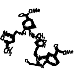 COC(=O)c1ccc(N)c(NCc2cc(C)on2)c1.COC(=O)c1ccc2nc(CCl)n(Cc3cc(C)on3)c2c1